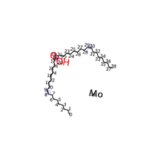 CCCCCCCC/C=C\CCCCCCCCP(=O)(O)CCCCCCCC/C=C\CCCCCCCC.[Mo]